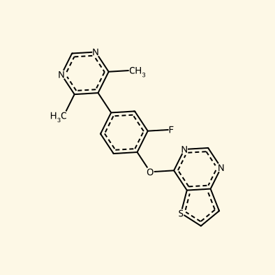 Cc1ncnc(C)c1-c1ccc(Oc2ncnc3ccsc23)c(F)c1